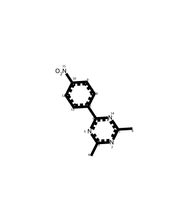 Cc1nc(C)nc(-c2ccc([N+](=O)[O-])cc2)n1